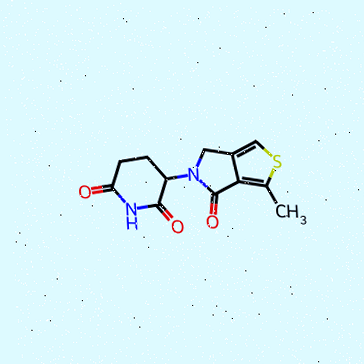 Cc1scc2c1C(=O)N(C1CCC(=O)NC1=O)C2